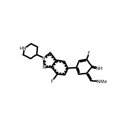 CN/C=C1/C=C(c2cc(F)c3nn(C4CCNCC4)cc3c2)C=C(F)C1=N